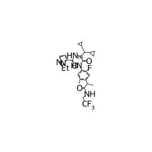 CCn1nccc1C(=O)N[C@H](C(=O)Nc1cc(C)c(C(C)C(=O)NCC(F)(F)F)cc1F)C(C1CC1)C1CC1